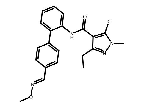 CCc1nn(C)c(Cl)c1C(=O)Nc1ccccc1-c1ccc(/C=N/OC)cc1